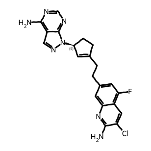 Nc1nc2cc(CCC3=C[C@@H](n4ncc5c(N)ncnc54)CC3)cc(F)c2cc1Cl